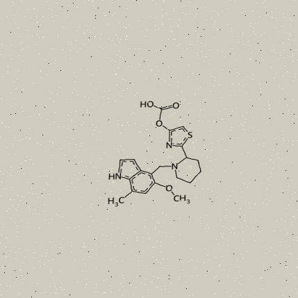 COc1cc(C)c2[nH]ccc2c1CN1CCCCC1c1nc(OC(=O)O)cs1